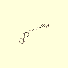 O=C(O)CCCCCCc1ccc(-c2ccccn2)nc1